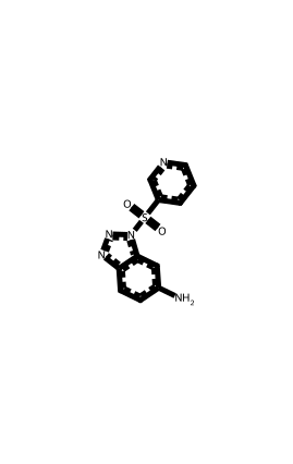 Nc1ccc2nnn(S(=O)(=O)c3cccnc3)c2c1